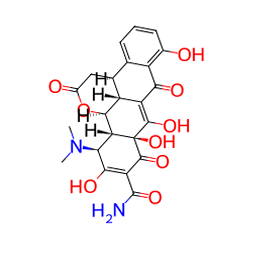 CN(C)[C@@H]1C(O)=C(C(N)=O)C(=O)[C@@]2(O)C(O)=C3C(=O)c4c(O)cccc4[C@@H]4CC(=O)O[C@@H]([C@@H]34)[C@@H]12